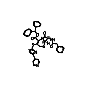 O=C(Cc1ccccc1)N[C@@H]1C(=O)N2C(C(=O)OC(c3ccccc3)c3ccccc3)=C(Sc3nc(-c4ccncc4)cs3)CS[C@H]12